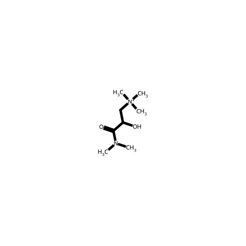 CN(C)C(=O)C(O)C[N+](C)(C)C